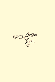 C[C@@H]1COCCN1c1cc([C@H]2CC[C@@H](C(F)(F)F)CC2)c2cnn(-c3cc[nH]n3)c2n1